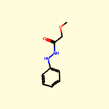 COCC(=O)NNc1ccccc1